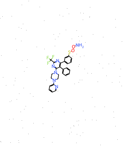 NOOSc1cccc(-c2nc(C(F)(F)F)nc(N3CCN(c4ccccn4)CC3)c2-c2ccccc2)c1